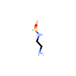 NCCNP=O